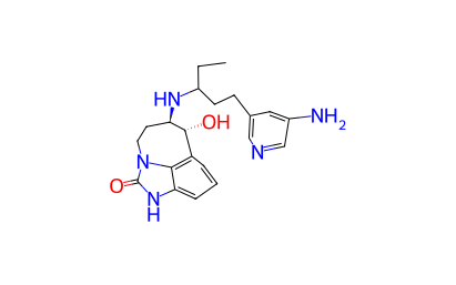 CCC(CCc1cncc(N)c1)N[C@@H]1CCn2c(=O)[nH]c3cccc(c32)[C@H]1O